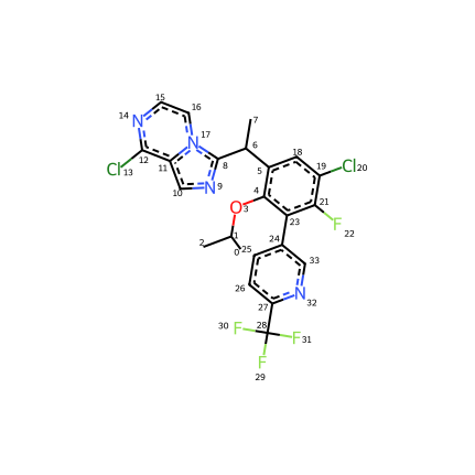 CC(C)Oc1c(C(C)c2ncc3c(Cl)nccn23)cc(Cl)c(F)c1-c1ccc(C(F)(F)F)nc1